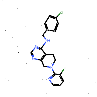 Clc1ccc(CNc2ncnc3c2CCN(c2ncccc2Cl)C3)cc1